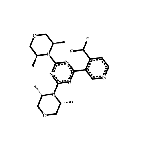 C[C@@H]1COC[C@H](C)N1c1nc(-c2cnccc2C(F)F)nc(N2[C@H](C)COC[C@@H]2C)n1